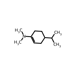 CC(C)C1CC=C(N(C)C)CC1